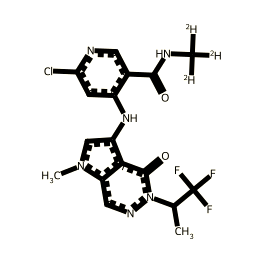 [2H]C([2H])([2H])NC(=O)c1cnc(Cl)cc1Nc1cn(C)c2cnn(C(C)C(F)(F)F)c(=O)c12